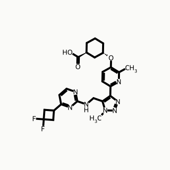 Cc1nc(-c2nnn(C)c2CNc2nccc(C3CC(F)(F)C3)n2)ccc1O[C@H]1CCC[C@H](C(=O)O)C1